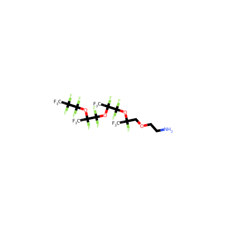 NCCOCC(F)(OC(F)(F)C(F)(OC(F)(F)C(F)(OC(F)(F)C(F)(F)C(F)(F)F)C(F)(F)F)C(F)(F)F)C(F)(F)F